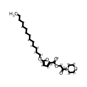 CCCCCCCCCCCCCCOc1ccc(C(=O)OCC(=O)N2CCOCC2)o1